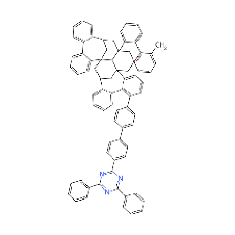 Cc1ccccc1-c1ccccc1C12CCCC34CC(CC5(CC(C1)c1ccccc1-c1ccccc15)C23)c1ccccc1-c1c(-c2ccc(-c3ccc(-c5nc(-c6ccccc6)nc(-c6ccccc6)n5)cc3)cc2)cccc14